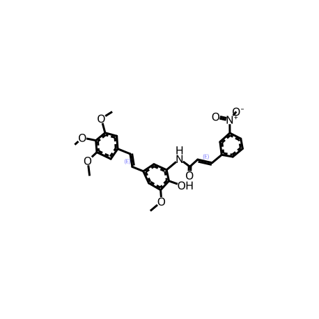 COc1cc(/C=C/c2cc(OC)c(OC)c(OC)c2)cc(NC(=O)/C=C/c2cccc([N+](=O)[O-])c2)c1O